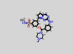 CN1CCN(C(=O)c2cccc(Nc3ncc4ccc(-c5cccc(S(=O)(=O)NC(C)(C)C)c5)n4n3)c2)CC1